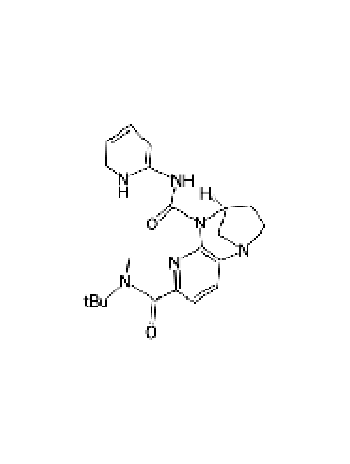 CN(C(=O)c1ccc2c(n1)N(C(=O)NC1=CC=CCN1)[C@H]1CCN2C1)C(C)(C)C